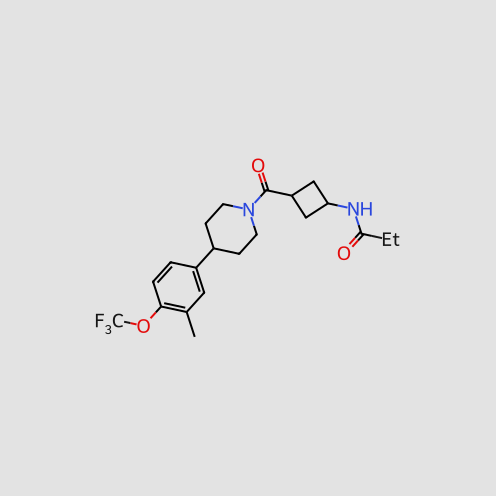 CCC(=O)NC1CC(C(=O)N2CCC(c3ccc(OC(F)(F)F)c(C)c3)CC2)C1